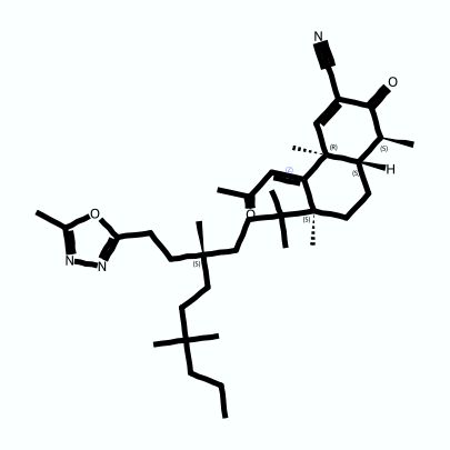 CCCC(C)(C)CC[C@](C)(CCc1nnc(C)o1)CCC(C)(C)[C@]1(C)CC[C@H]2[C@H](C)C(=O)C(C#N)=C[C@]2(C)/C1=C/C(C)=O